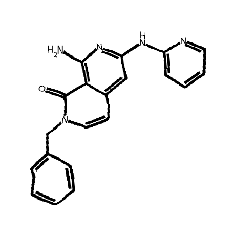 Nc1nc(Nc2ccccn2)cc2ccn(Cc3ccccc3)c(=O)c12